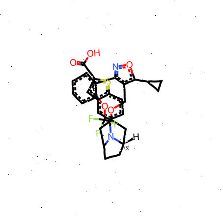 O=C(O)c1cc2cc(N3C4CC[C@H]3CC(OCc3c(-c5ccccc5OC(F)(F)F)noc3C3CC3)C4)ccc2s1